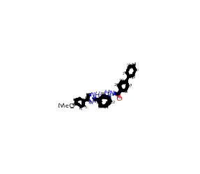 COc1ccc(-c2c[nH]c(-c3cccc(NC(=O)c4ccc(C5CCCCC5)cc4)c3)n2)cc1